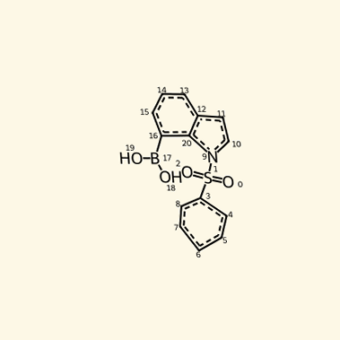 O=S(=O)(c1ccccc1)n1ccc2cccc(B(O)O)c21